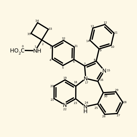 O=C(O)NC1(c2ccc(-c3c(-c4ccccc4)nc4n3-c3cccnc3Nc3ccccc3-4)cc2)CCC1